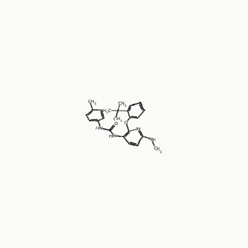 CNc1ccc(NC(=O)Nc2ccc(C)cc2)c(Oc2ccccc2C(C)(C)C)n1